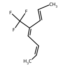 CC=C/C(=C\C=C/C)C(F)(F)F